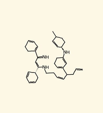 C=CCC(/C=C\CCN/C(=C\C(=N)C1=CC=CCC1)[C@H]1C=CC=CC1)C1=CCCC(N[C@H]2C=CC(C)CC2)=C1